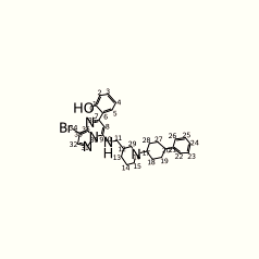 Oc1ccccc1-c1cc(NCC2CCCN(C3CCC(c4ccccc4)CC3)C2)n2ncc(Br)c2n1